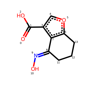 O=C(O)c1coc2c1C(=NO)CCC2